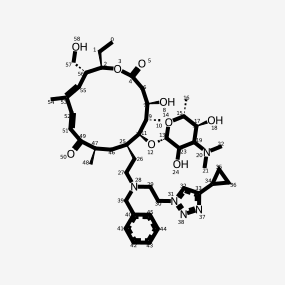 CC[C@H]1OC(=O)C[C@@H](O)[C@H](C)[C@@H](O[C@@H]2O[C@H](C)[C@@H](O)C(N(C)C)C2O)[C@@H](CCN(CCn2cc(C3CC3)nn2)Cc2ccccc2)C[C@@H](C)C(=O)/C=C/C(C)=C/[C@@H]1CO